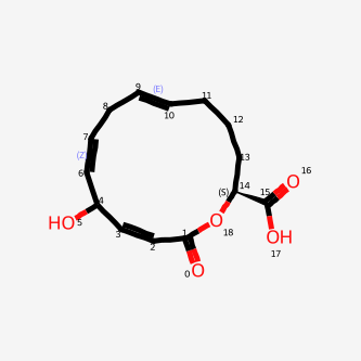 O=C1C=CC(O)/C=C\C/C=C/CCC[C@@H](C(=O)O)O1